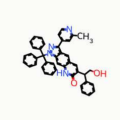 Cc1cc(-c2nn(C(c3ccccc3)(c3ccccc3)c3ccccc3)c3cc4[nH]c(=O)c(C(CO)c5ccccc5)cc4cc23)ccn1